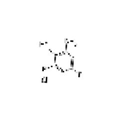 Cc1c(N)cc(F)cc1F.[Cl-].[H+]